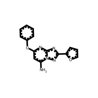 Nc1cc(Oc2ccccc2)nc2nc(-c3ccco3)nn12